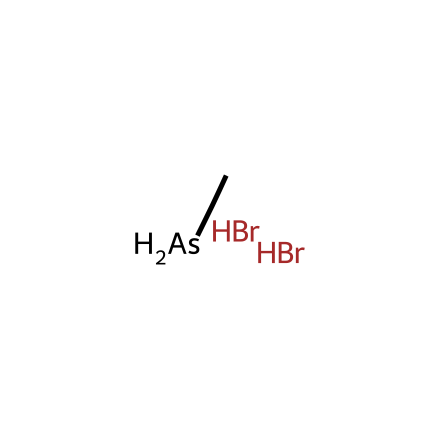 Br.Br.C[AsH2]